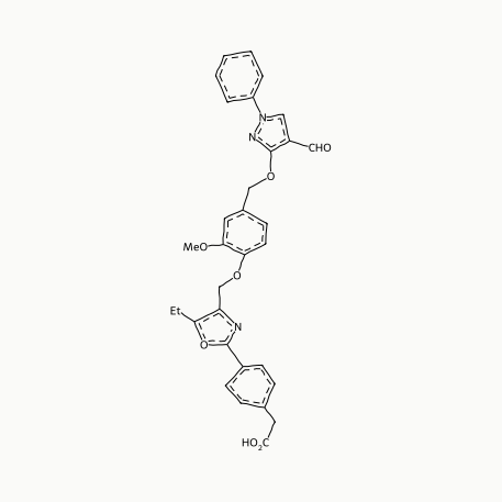 CCc1oc(-c2ccc(CC(=O)O)cc2)nc1COc1ccc(COc2nn(-c3ccccc3)cc2C=O)cc1OC